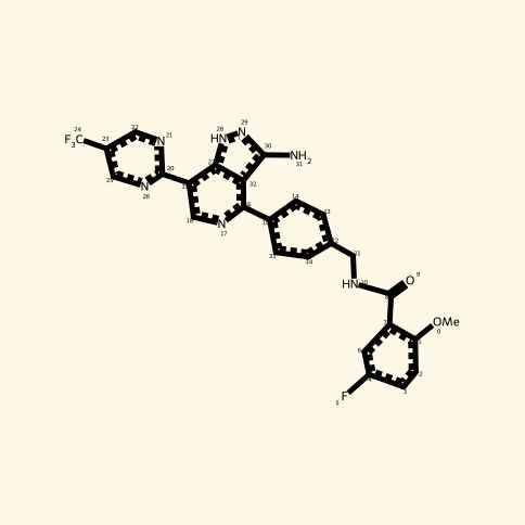 COc1ccc(F)cc1C(=O)NCc1ccc(-c2ncc(-c3ncc(C(F)(F)F)cn3)c3[nH]nc(N)c23)cc1